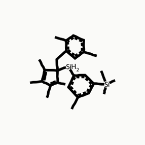 CC1=C(C)C(Cc2cc(C)ccc2C)([SiH2]c2cc(C)cc([Si](C)(C)C)c2)C(C)=C1C